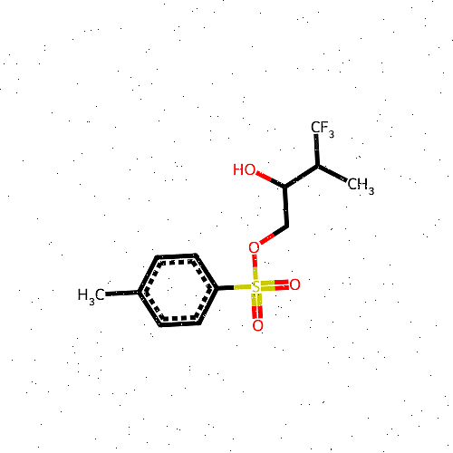 Cc1ccc(S(=O)(=O)OCC(O)C(C)C(F)(F)F)cc1